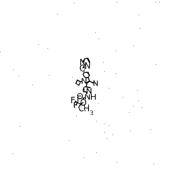 C[C@@H](OC(=O)Nc1ccc(-c2c(C#N)c3ccc(Oc4ncccn4)cc3n2C2CCC2)cn1)C(F)(F)F